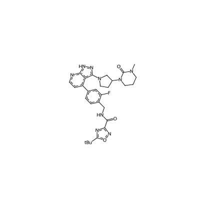 CN1CCCN(C2CCN(c3n[nH]c4nccc(-c5ccc(CNC(=O)c6noc(C(C)(C)C)n6)c(F)c5)c34)C2)C1=O